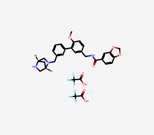 COc1ccc(CNC(=O)c2ccc3c(c2)OCO3)cc1-c1cccc(CN2C[C@@H]3C[C@H]2CN3)c1.O=C(O)C(F)(F)F.O=C(O)C(F)(F)F